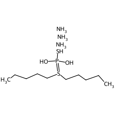 CCCCCS(CCCCC)=P(O)(O)S.N.N.N